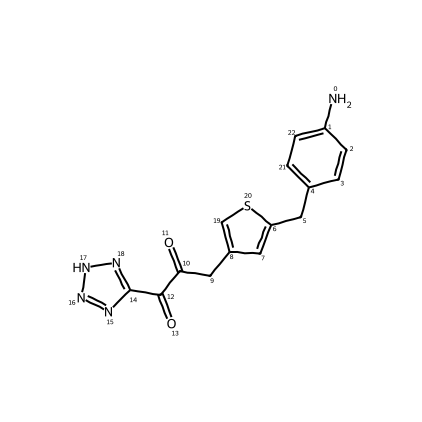 Nc1ccc(Cc2cc(CC(=O)C(=O)c3nn[nH]n3)cs2)cc1